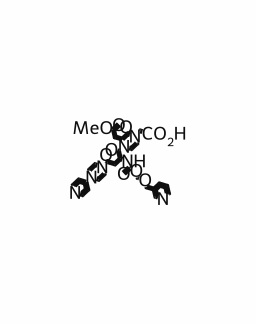 COC(=O)CC1C(=O)N(CC(=O)O)CCN1C(=O)C(CC(=O)N1CCN(c2ccncc2)CC1)NC(=O)OCOCc1cccnc1